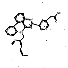 C=N/C(=C\C=C/C)CNc1nc(-c2cncc(CC(N)=O)c2)nc2cccc(-c3ccccc3)c12